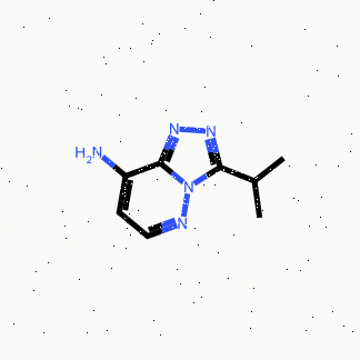 CC(C)c1nnc2c(N)ccnn12